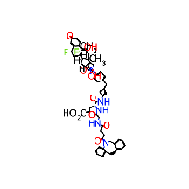 C[C@]12C=CC(=O)C=C1[C@@H](F)C[C@H]1[C@@H]3C[C@H]4CN(c5ccc(CC67CC(NC(=O)[C@H](CCC(=O)O)NC(=O)CNC(=O)CCC(=O)N8Cc9ccccc9C#Cc9ccccc98)(C6)C7)cc5)C[C@@]4(C(=O)CO)[C@@]3(C)C[C@H](O)[C@@]12F